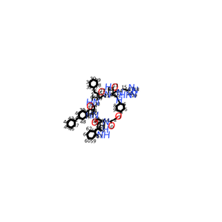 O=C1COc2ccc(cc2)C[C@@H](C(=O)NCc2nnn[nH]2)NC(=O)[C@H](CCc2ccccc2)NC(=O)[C@@H](Cc2ccc(-c3ccccc3)cc2)NC(=O)[C@H](Cc2c[nH]c3ccccc23)N1